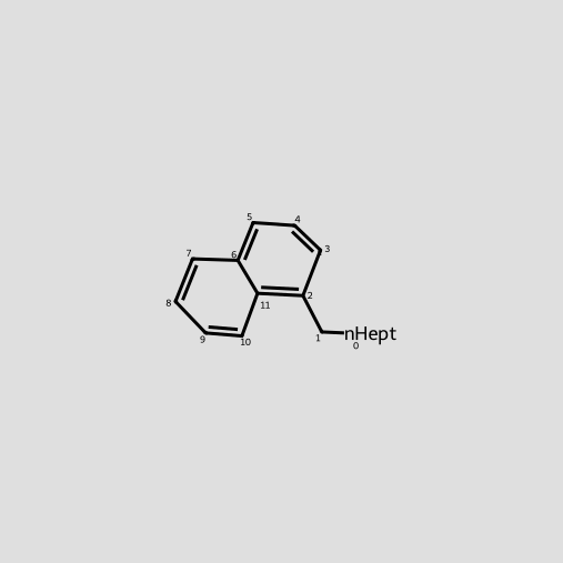 CCCCCCCCc1[c]ccc2ccccc12